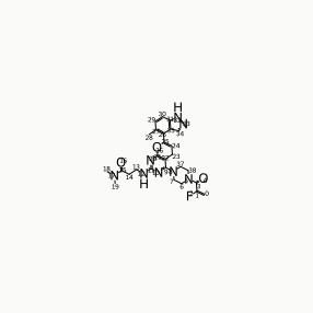 C=C(F)C(=O)N1CCN(c2nc(NCCC(=O)N(C)C)nc3c2CC=C(c2c(C)ccc4[nH]ncc24)O3)CC1